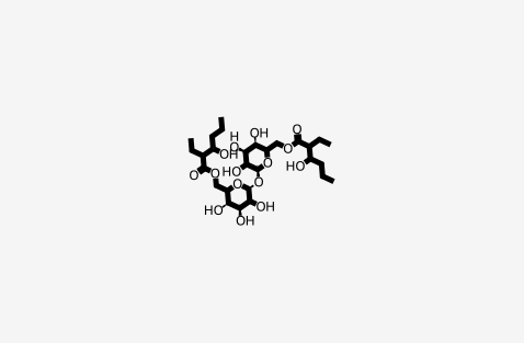 CCCC(O)C(CC)C(=O)OCC1O[C@H](O[C@@H]2OC(COC(=O)C(CC)C(O)CCC)[C@@H](O)[C@H](O)C2O)C(O)[C@@H](O)[C@@H]1O